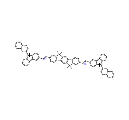 CC1(C)c2cc(/C=C/c3ccc4c(c3)c3ccccc3n4-c3ccc4ccccc4c3)ccc2-c2cc3c(cc21)-c1ccc(/C=C/c2ccc4c(c2)c2ccccc2n4-c2ccc4ccccc4c2)cc1C3(C)C